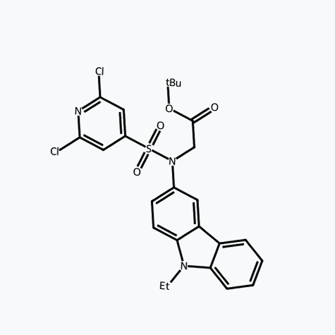 CCn1c2ccccc2c2cc(N(CC(=O)OC(C)(C)C)S(=O)(=O)c3cc(Cl)nc(Cl)c3)ccc21